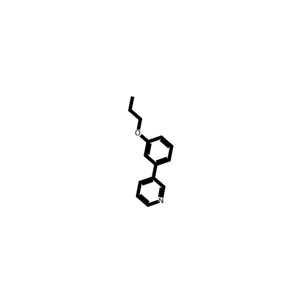 CCCOc1cccc(-c2cccnc2)c1